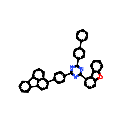 c1ccc(-c2ccc(-c3nc(-c4ccc(-c5ccc6c7c(cccc57)-c5ccccc5-6)cc4)nc(-c4cccc5oc6ccccc6c45)n3)cc2)cc1